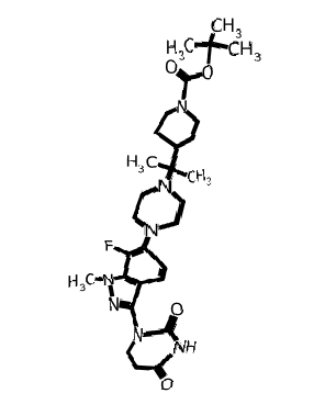 Cn1nc(N2CCC(=O)NC2=O)c2ccc(N3CCN(C(C)(C)C4CCN(C(=O)OC(C)(C)C)CC4)CC3)c(F)c21